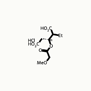 CCC(C(=O)O)[C@@H](CC(=O)O)OC(=O)COC.Cl